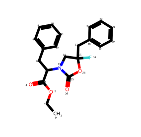 CCOC(=O)C(Cc1ccccc1)N1CC(F)(Cc2ccccc2)OC1=O